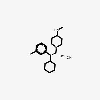 CNC1CCN(C[C@H](c2cccc(Cl)c2)C2CCCCC2)CC1.Cl.Cl